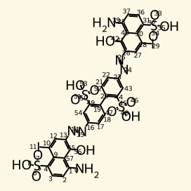 Nc1ccc(S(=O)(=O)O)c2c(I)cc(N=Nc3ccc(-c4ccc(N=Nc5cc(I)c6c(S(=O)(=O)O)ccc(N)c6c5O)cc4S(=O)(=O)O)c(S(=O)(=O)O)c3)c(O)c12